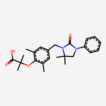 Cc1cc(CN2C(=O)N(c3ccccc3)CC2(C)C)cc(C)c1OC(C)(C)C(=O)O